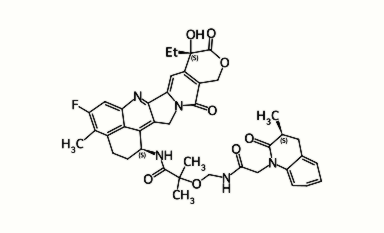 CC[C@@]1(O)C(=O)OCc2c1cc1n(c2=O)Cc2c-1nc1cc(F)c(C)c3c1c2[C@@H](NC(=O)C(C)(C)OCNC(=O)CN1C(=O)[C@@H](C)Cc2ccccc21)CC3